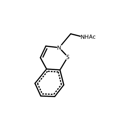 CC(=O)NCN1C=Cc2ccccc2S1